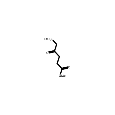 CCOC(=O)CC(=O)CCC(=O)OC